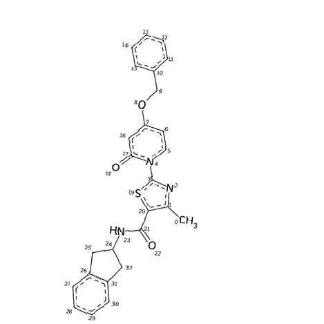 Cc1nc(-n2ccc(OCc3ccccc3)cc2=O)sc1C(=O)NC1Cc2ccccc2C1